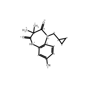 CC1(C)C(=O)Nc2cc(C#N)ccc2N(CC2CC2)C1=O